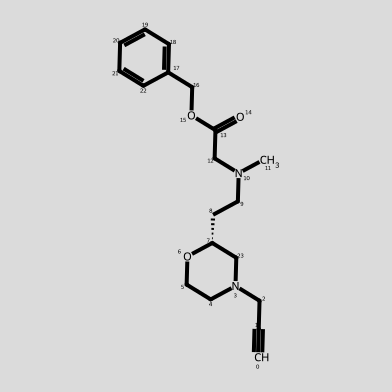 C#CCN1CCO[C@H](CCN(C)CC(=O)OCc2ccccc2)C1